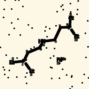 CCP(CC)CCNCCP(CC)CC.[Fe+2]